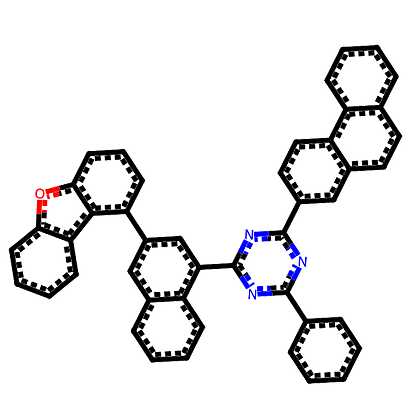 c1ccc(-c2nc(-c3ccc4c(ccc5ccccc54)c3)nc(-c3cc(-c4cccc5oc6ccccc6c45)cc4ccccc34)n2)cc1